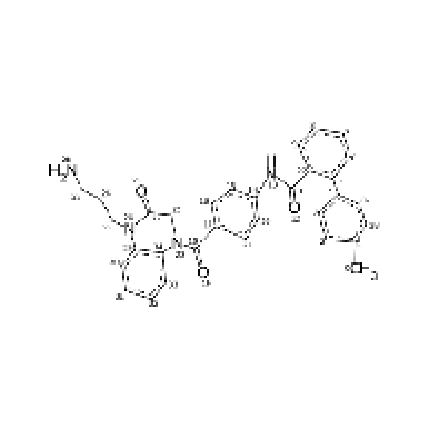 Cc1ccc(-c2ccccc2C(=O)Nc2ccc(C(=O)N3CC(=O)N(CCCN)c4ccccc43)cc2)cc1